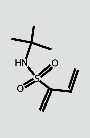 C=CC(=C)S(=O)(=O)NC(C)(C)C